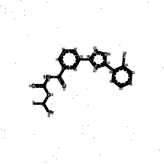 CC(C)C(C)OC(=O)NC(=O)c1cccc(-c2noc(-c3ccccc3F)n2)c1